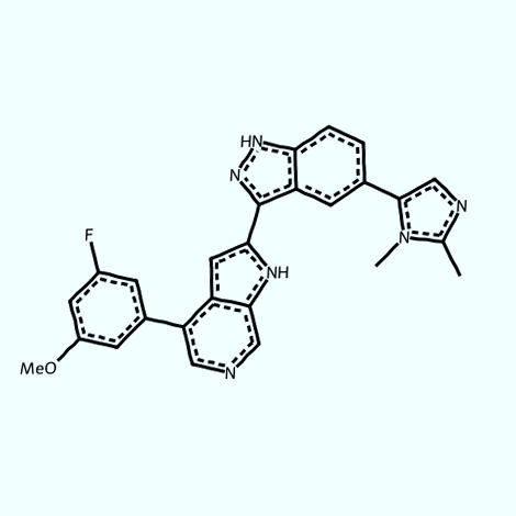 COc1cc(F)cc(-c2cncc3[nH]c(-c4n[nH]c5ccc(-c6cnc(C)n6C)cc45)cc23)c1